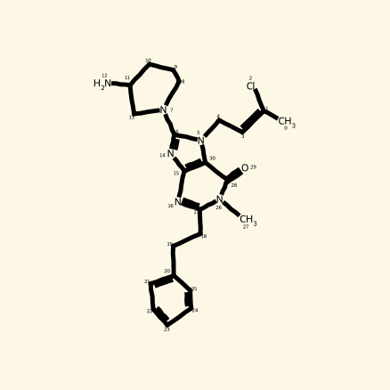 CC(Cl)=CCn1c(N2CCCC(N)C2)nc2nc(CCc3ccccc3)n(C)c(=O)c21